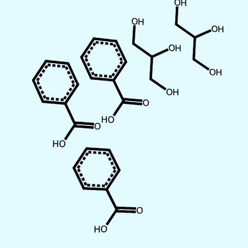 O=C(O)c1ccccc1.O=C(O)c1ccccc1.O=C(O)c1ccccc1.OCC(O)CO.OCC(O)CO